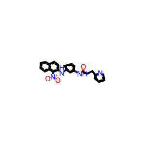 O=C(CCc1ccccn1)Nc1cccc(Nc2ccc3ccccc3c2[N+](=O)[O-])c1